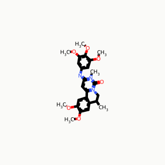 COc1cc2c(cc1OC)C(C)Cn1c-2cc(=Nc2cc(OC)c(OC)c(OC)c2)n(C)c1=O